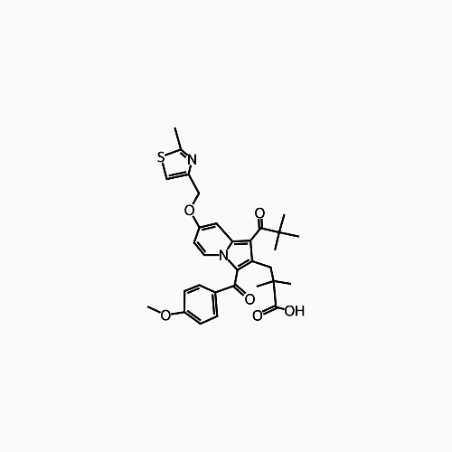 COc1ccc(C(=O)c2c(CC(C)(C)C(=O)O)c(C(=O)C(C)(C)C)c3cc(OCc4csc(C)n4)ccn23)cc1